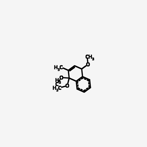 COC1C=C(C)C(OC)(OC)c2ccccc21